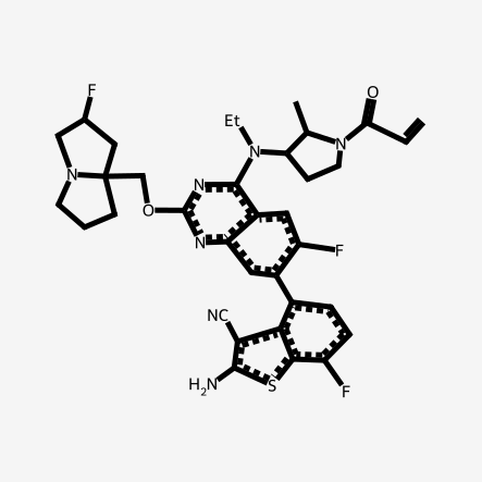 C=CC(=O)N1CCC(N(CC)c2nc(OCC34CCCN3CC(F)C4)nc3cc(-c4ccc(F)c5sc(N)c(C#N)c45)c(F)cc23)C1C